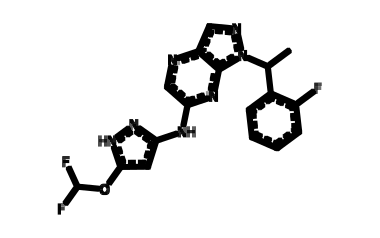 CC(c1ccccc1F)n1ncc2ncc(Nc3cc(OC(F)F)[nH]n3)nc21